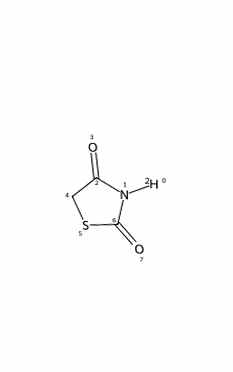 [2H]N1C(=O)CSC1=O